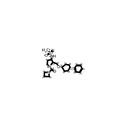 CS(=O)(=O)NC1CCN(C(=O)N2CCC2)C1CO[C@H]1CC[C@@H](c2ccccc2)CC1